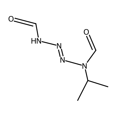 CC(C)N(C=O)N=NNC=O